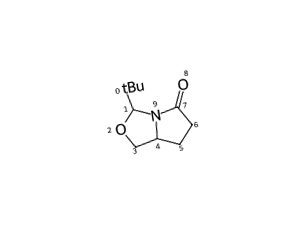 CC(C)(C)C1OCC2CCC(=O)N21